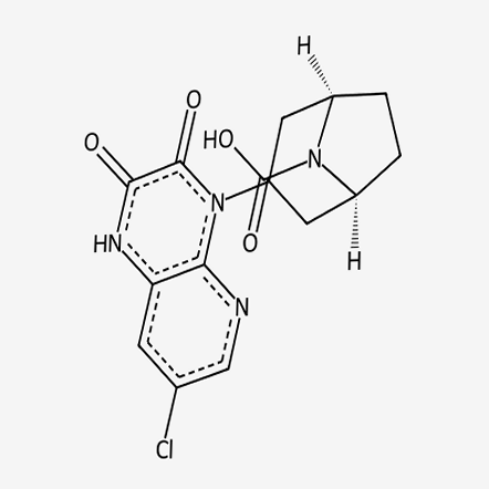 O=C(O)N1[C@@H]2CC[C@H]1CC(n1c(=O)c(=O)[nH]c3cc(Cl)cnc31)C2